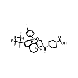 O=C(O)[C@H]1CC[C@H](C(=O)N2CC[C@]3(S(=O)(=O)c4ccc(F)cc4)c4ccc(C(F)(C(F)(F)F)C(F)(F)F)cc4CCC[C@H]23)CC1